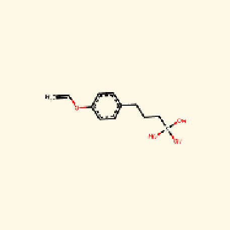 C=COc1ccc(CCC[Si](O)(O)O)cc1